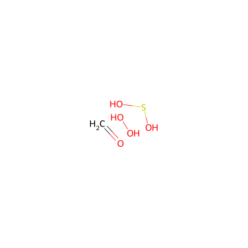 C=O.OO.OSO